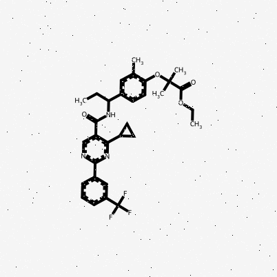 CCOC(=O)C(C)(C)Oc1ccc(C(CC)NC(=O)c2cnc(-c3cccc(C(F)(F)F)c3)nc2C2CC2)cc1C